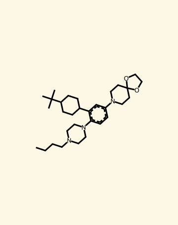 CCCCN1CCN(c2ccc(N3CCC4(CC3)OCCO4)cc2C2CCC(C(C)(C)C)CC2)CC1